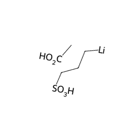 CC(=O)O.[Li][CH2]CCS(=O)(=O)O